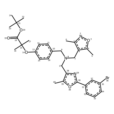 Cc1noc(C)c1CN(Cc1ccc(OC(C)(C)C(=O)OC(C)(C)C)cc1)Cc1nc(-c2cccc(Br)c2)oc1C